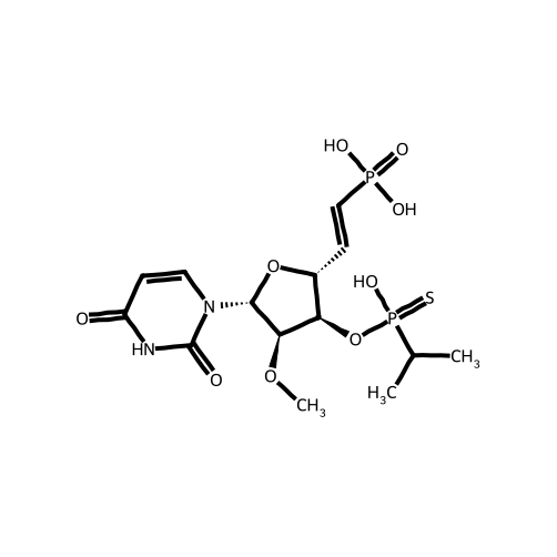 CO[C@@H]1[C@H](OP(O)(=S)C(C)C)[C@@H](/C=C/P(=O)(O)O)O[C@H]1n1ccc(=O)[nH]c1=O